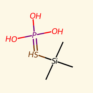 C[Si](C)(C)[SH]=P(O)(O)O